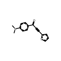 CN(C)c1ccc(C(=O)C#Cc2cccs2)cc1